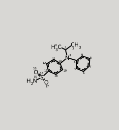 CC(C)N(c1ccccc1)c1ccc(S(N)(=O)=O)cc1